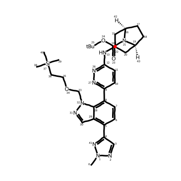 Cn1ncc(-c2ccc(-c3ccc(NC4C[C@H]5CC[C@@H](C4)N5C(=O)OC(C)(C)C)nn3)c3c2cnn3COCC[Si](C)(C)C)n1